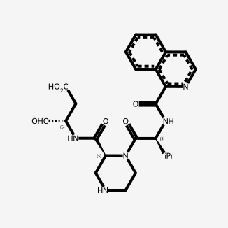 CC(C)[C@H](NC(=O)c1nccc2ccccc12)C(=O)N1CCNC[C@H]1C(=O)N[C@H](C=O)CC(=O)O